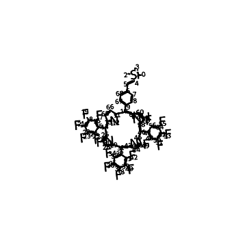 C[Si](C)(C)C=Cc1ccc(-c2c3nc(c(-c4c(F)c(F)c(F)c(F)c4F)c4ccc([nH]4)c(-c4c(F)c(F)c(F)c(F)c4F)c4nc(c(-c5c(F)c(F)c(F)c(F)c5F)c5ccc2[nH]5)C=C4)C=C3)cc1